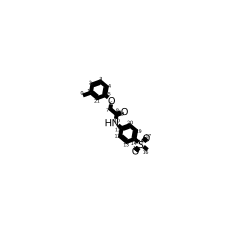 Cc1cccc(OCC(=O)Nc2ccc(S(C)(=O)=O)cc2)c1